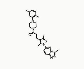 Cc1ccc(C)c(N2CCN(C(=O)CCc3c(C)nn(-c4ccc5nnc(C)n5n4)c3C)CC2)c1